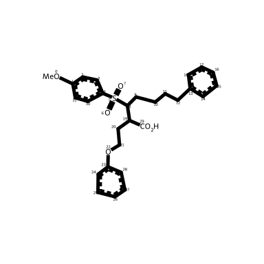 COc1ccc(S(=O)(=O)C(CCCCc2ccccc2)C(CCOc2ccccc2)C(=O)O)cc1